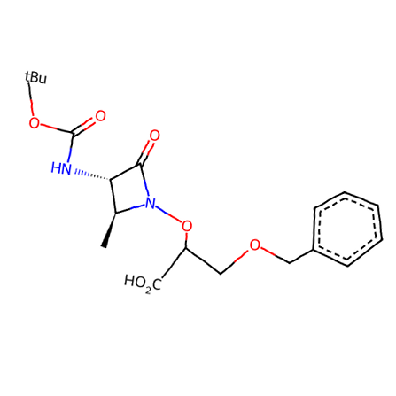 C[C@H]1[C@H](NC(=O)OC(C)(C)C)C(=O)N1OC(COCc1ccccc1)C(=O)O